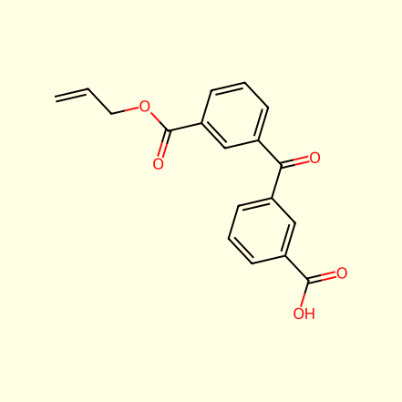 C=CCOC(=O)c1cccc(C(=O)c2cccc(C(=O)O)c2)c1